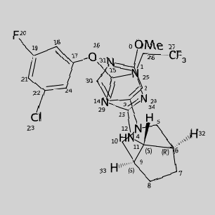 COc1cc(N2C[C@H]3CC[C@@H](C2)[C@@H]3Nc2nc(Oc3cc(F)cc(Cl)c3)n(CC(F)(F)F)n2)ccn1